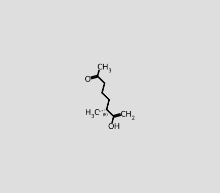 C=C(O)[C@H](C)CCCC(C)=O